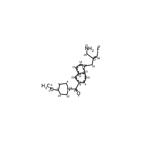 COC1CCN(C(=O)c2ccc3c(ccn3C/C(=C/F)CN)c2)CC1